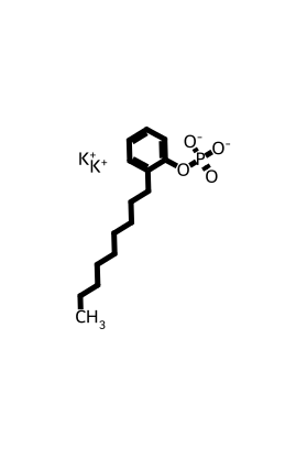 CCCCCCCCCc1ccccc1OP(=O)([O-])[O-].[K+].[K+]